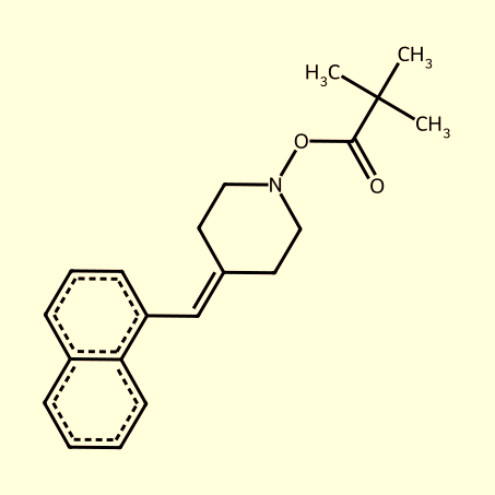 CC(C)(C)C(=O)ON1CCC(=Cc2cccc3ccccc23)CC1